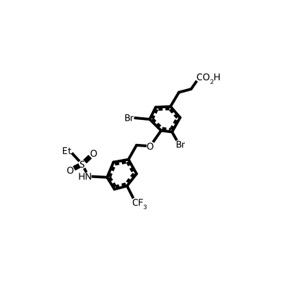 CCS(=O)(=O)Nc1cc(COc2c(Br)cc(CCC(=O)O)cc2Br)cc(C(F)(F)F)c1